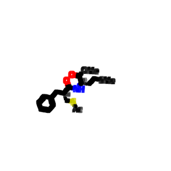 COC(=O)[C@H](CCSC)NC(=O)[C@H](CSC(C)=O)Cc1ccccc1